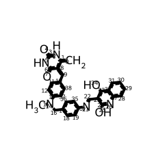 C=c1[nH]c(=O)[nH]c(=O)/c1=C\c1ccc(N(C)Cc2ccc(/N=C/c3c(O)nc4ccccc4c3O)cc2)cc1